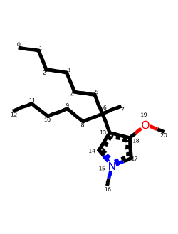 CCCCCCC(C)(CCCCC)c1cn(C)cc1OC